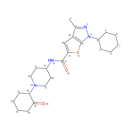 Cc1nn(C2CCCCC2)c2sc(C(=O)NC3CCN(C4CCCCC4=O)CC3)cc12